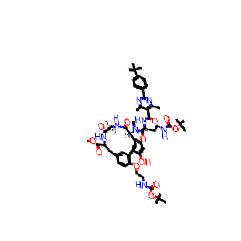 COC(=O)[C@@H]1Cc2ccc(OCCNC(=O)OC(C)(C)C)c(c2)-c2cc(ccc2O)[C@H](N(C)C(=O)[C@H](CCNC(=O)OC(C)(C)C)NC(=O)c2c(C)nc(-c3ccc(C(C)(C)C)cc3)nc2C)C(=O)N[C@@H](C)C(=O)N1